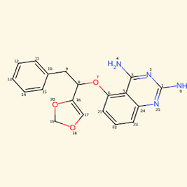 Nc1nc(N)c2c(OC(Cc3ccccc3)C3=COCO3)cccc2n1